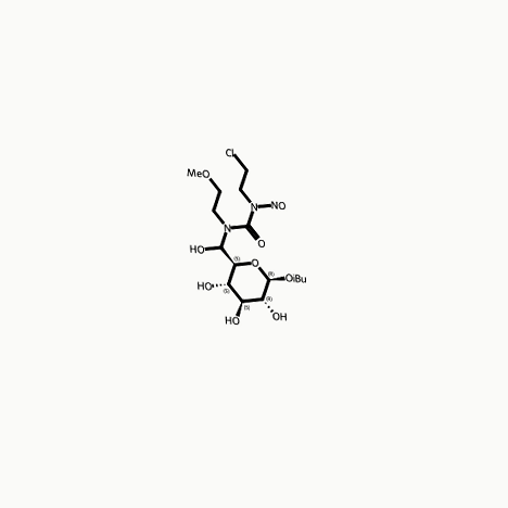 COCCN(C(=O)N(CCCl)N=O)C(O)[C@H]1O[C@@H](OCC(C)C)[C@H](O)[C@@H](O)[C@@H]1O